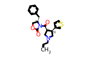 C=CCN1C[C@H](c2ccsc2)[C@H](C(=O)N2C(=O)OC[C@@H]2Cc2ccccc2)C1